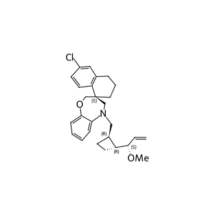 C=C[C@H](OC)[C@@H]1CC[C@H]1CN1C[C@@]2(CCCc3cc(Cl)ccc32)COc2ccccc21